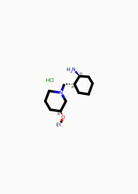 CCO[C@@H]1CCCN(C[C@H]2CCCC[C@@H]2N)C1.Cl